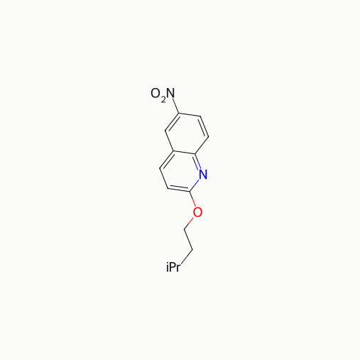 CC(C)CCOc1ccc2cc([N+](=O)[O-])ccc2n1